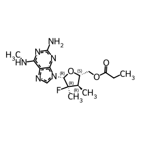 CCC(=O)OC[C@H]1O[C@@H](n2cnc3c(NC)nc(N)nc32)[C@](C)(F)[C@@H]1C